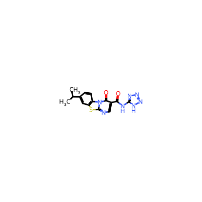 CC(C)c1ccc2c(c1)sc1ncc(C(=O)Nc3nnn[nH]3)c(=O)n12